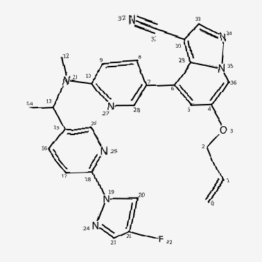 C=CCOc1cc(-c2ccc(N(C)C(C)c3ccc(-n4cc(F)cn4)nc3)nc2)c2c(C#N)cnn2c1